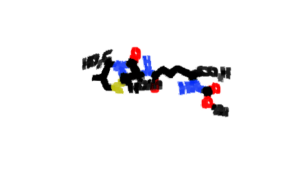 CO[C@@]1(NC(=O)CCCC(NC(=O)OC(C)(C)C)C(=O)O)C(=O)N2C(C(=O)O)=C(C)CS[C@H]21